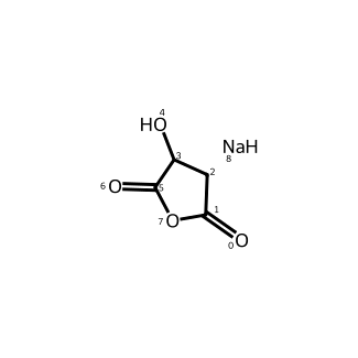 O=C1CC(O)C(=O)O1.[NaH]